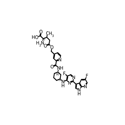 CC(CC(=O)OCc1ccnc(C(=O)N[C@@H]2CCC[C@H](Nc3nc(-c4c[nH]c5ncc(F)cc45)ncc3F)C2)c1)[C@@H](N)C(=O)O